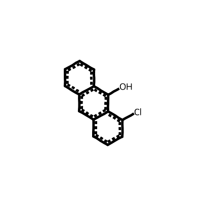 Oc1c2ccccc2cc2cccc(Cl)c12